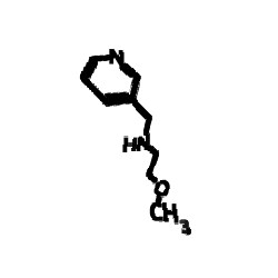 COCCNCc1cccnc1